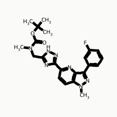 CN(Cc1nc(-c2ccc3c(n2)c(-c2cccc(F)c2)nn3C)n[nH]1)C(=O)OC(C)(C)C